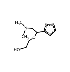 CN(C)CC(OCCO)c1cccs1